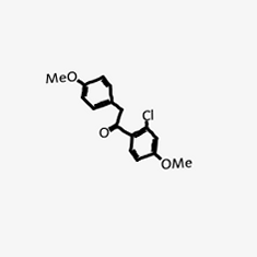 COc1ccc(CC(=O)c2ccc(OC)cc2Cl)cc1